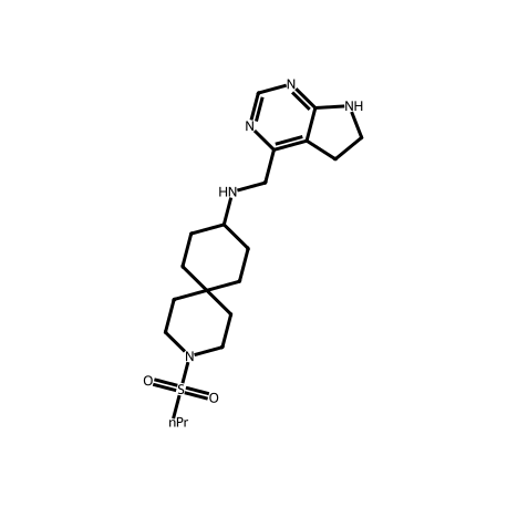 CCCS(=O)(=O)N1CCC2(CCC(NCc3ncnc4c3CCN4)CC2)CC1